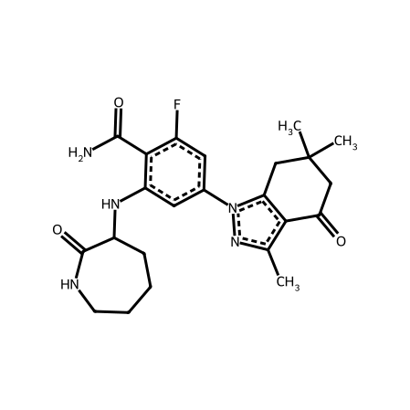 Cc1nn(-c2cc(F)c(C(N)=O)c(NC3CCCCNC3=O)c2)c2c1C(=O)CC(C)(C)C2